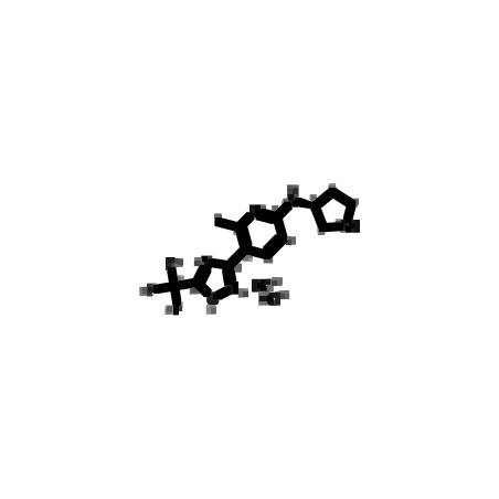 Cc1nc(N[C@H]2CCNC2)ccc1-c1noc(C(F)(F)F)n1.Cl.Cl